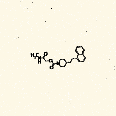 CNC(=O)COC(=O)N1CCC(CCc2cccc3ccccc23)CC1